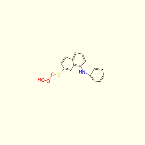 OOOSc1ccc2cccc(Nc3ccccc3)c2c1